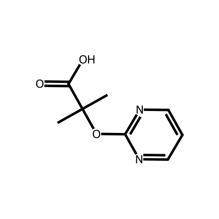 CC(C)(Oc1ncccn1)C(=O)O